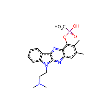 Cc1cc2nc3c(nc2c(OP(=O)(O)C(=O)O)c1C)c1ccccc1n3CCN(C)C